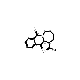 CCC(=O)C1CCCCn2c(=O)c3ccccc3c(=O)n21